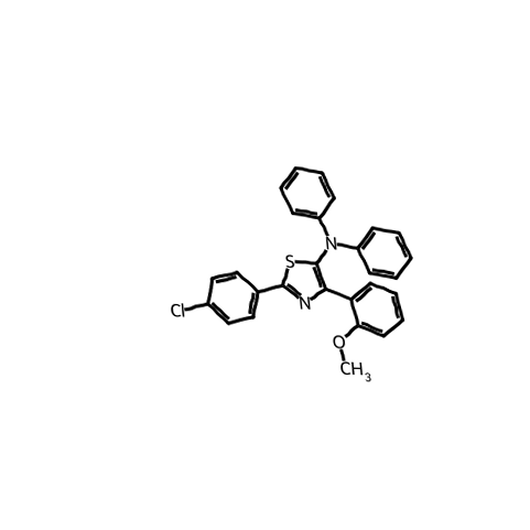 COc1ccccc1-c1nc(-c2ccc(Cl)cc2)sc1N(c1ccccc1)c1ccccc1